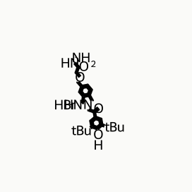 Br.CC(C)(C)c1cc(C(=O)CN2Cc3ccc(COCC(=O)NN)cc3C2=N)cc(C(C)(C)C)c1O